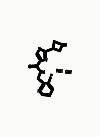 Cl.Cl.O=C(NCc1ncccc1F)c1csc(C2CNC2)n1